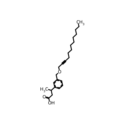 CCCCCCCCCCC#CCOCc1cccc(C(C)CC(=O)O)c1